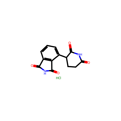 Cl.O=C1CCC(c2cccc3c2C(=O)NC3=O)C(=O)N1